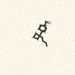 CCCCC1(c2ccc(C=O)cc2)CCC1